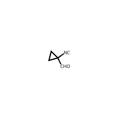 [C-]#[N+]C1(C=O)CC1